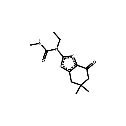 CCN(C(=O)NC)c1nc2c(s1)C(=O)CC(C)(C)C2